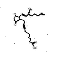 CCCCCC(O)C=CC1C(O)CC(=O)C1CC=CCCCCCC(=O)O